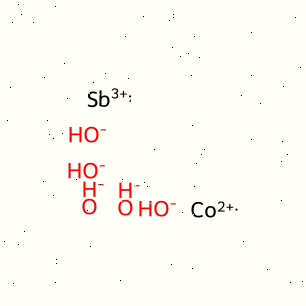 [Co+2].[OH-].[OH-].[OH-].[OH-].[OH-].[Sb+3]